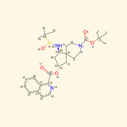 CC(C)(C)OC(=O)N1CCC2(CC1)C[C@H](OC(=O)c1nccc3ccccc13)C[C@H]2N[S+]([O-])C(C)(C)C